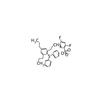 CCCc1cc(CCC)c([S+](c2ccccc2)c2ccccc2)c(CCC)c1.O=S(=O)([O-])c1ccc(F)cc1F